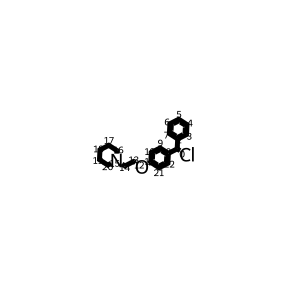 ClC(c1ccccc1)c1ccc(OCCN2CCCCC2)cc1